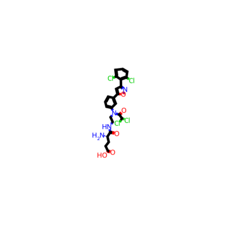 N[C@@H](CCC(=O)O)C(=O)NCCN(C(=O)C(Cl)Cl)c1cccc(-c2cc(-c3c(Cl)cccc3Cl)no2)c1